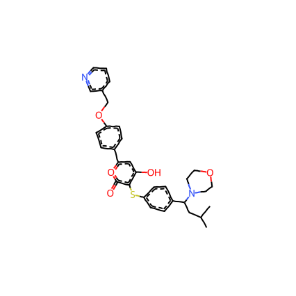 CC(C)CC(c1ccc(Sc2c(O)cc(-c3ccc(OCc4cccnc4)cc3)oc2=O)cc1)N1CCOCC1